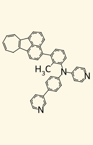 Cc1c(-c2ccc3c4c(cccc24)C2=C3CC=CC=C2)cccc1N(c1ccncc1)c1ccc(-c2cccnc2)cc1